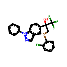 OC(CSc1ccccc1F)(c1ccc2c(cnn2-c2ccccc2)c1)C(F)(F)F